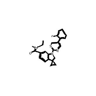 CCN(C)C(=O)c1ccc2c(c1)N(c1ncc(-c3ccccc3F)cn1)CC21CC1